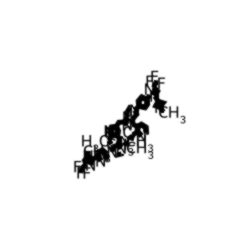 Cc1nc(-c2cc(Cc3nc(-c4cccnc4C(C)C)c4n3CCN(c3ccc(-c5nc(C(F)(F)F)cn5C5CN(C)C5)cc3)C4)cnc2C(C)C)c2n1CCN(c1ccc(-c3nc(C(F)(F)F)cn3C)nc1)C2